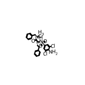 CN(Cc1ccccc1)C(=O)[C@@H](CCc1ccccc1)NS(=O)(=O)c1cc(Cl)c(N)c(Cl)c1